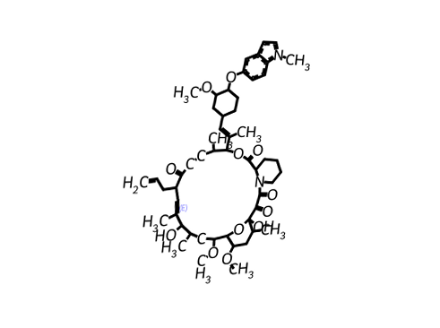 C=CCC1/C=C(\C)C(O)C(C)CC(OC)C2OC(O)(C(=O)C(=O)N3CCCCC3C(=O)OC(C(C)=CC3CCC(Oc4ccc5c(ccn5C)c4)C(OC)C3)C(C)CCC1=O)C(C)CC2OC